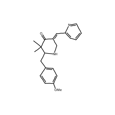 COc1ccc(CC2NCC(=Cc3ccccn3)C(=O)C2(C)C)cc1